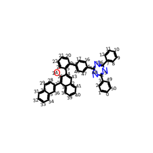 c1ccc(-c2nc(-c3ccccc3)nc(-c3ccc(-c4cccc5oc6c(-c7ccc8ccccc8c7)c7ccccc7cc6c45)cc3)n2)cc1